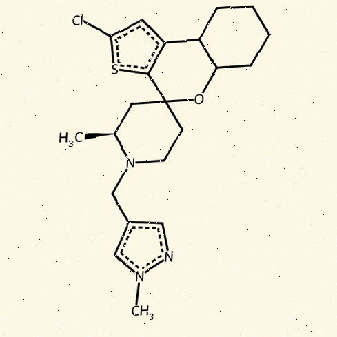 C[C@H]1CC2(CCN1Cc1cnn(C)c1)OC1CCCCC1c1cc(Cl)sc12